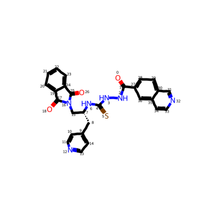 O=C(NNC(=S)N[C@H](Cc1ccncc1)CN1C(=O)c2ccccc2C1=O)c1ccc2cnccc2c1